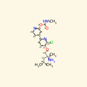 CNC(=O)Oc1cc(-c2ccc(OC[C@@](C)(N)CC(C)C)c(Cl)n2)ccn1